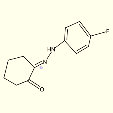 O=C1CCCC/C1=N\Nc1ccc(F)cc1